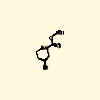 CC(C)(C)OC(=O)C1CC(Br)CCN1